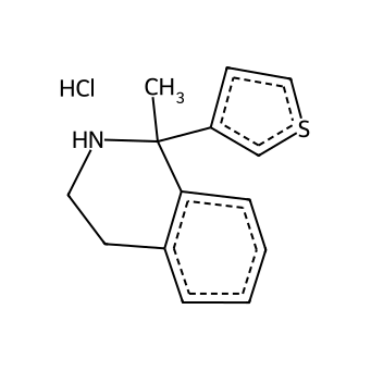 CC1(c2ccsc2)NCCc2ccccc21.Cl